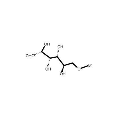 O=C[C@H](O)[C@@H](O)[C@H](O)[C@H](O)COBr